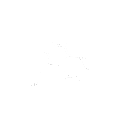 N#Cc1cccc2c1C=CCO2